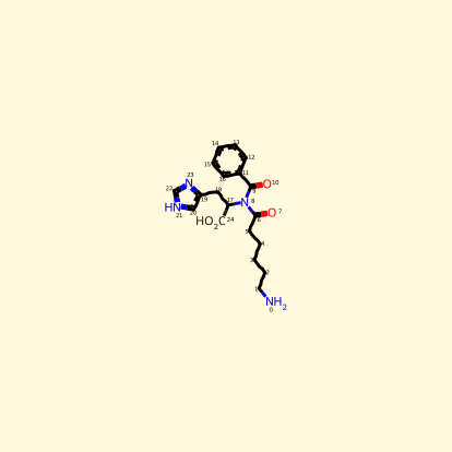 NCCCCCC(=O)N(C(=O)c1ccccc1)C(Cc1c[nH]cn1)C(=O)O